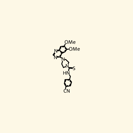 COc1cc2ncnc(N3CCN(C(=S)NCc4ccc(C#N)cc4)CC3)c2cc1OC